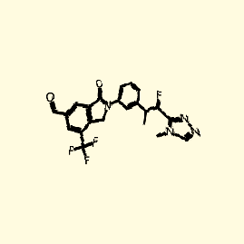 CC(c1cccc(N2Cc3c(cc(C=O)cc3C(F)(F)F)C2=O)c1)C(F)c1nncn1C